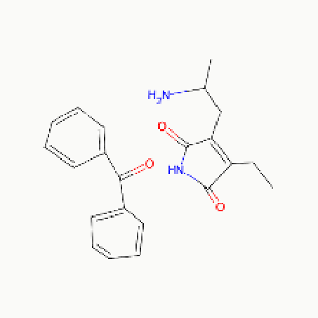 CCC1=C(CC(C)N)C(=O)NC1=O.O=C(c1ccccc1)c1ccccc1